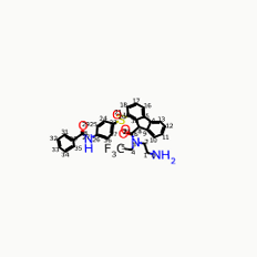 NCCN(CC(F)(F)F)C(=O)C1c2ccccc2-c2cccc(S(=O)(=O)c3ccc(NC(=O)c4ccccc4)cc3)c21